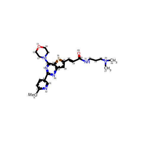 COc1ccc(-c2nc(N3CCOCC3)c3sc(/C=C/C(=O)NCCCN(C)C)cc3n2)cn1